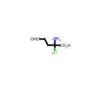 NC(Cl)(CCC=O)C(=O)O